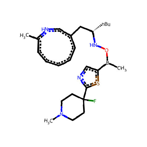 CCCC[C@@H](Cc1cccccc(C)[nH]c1)NOB(C)c1cnc(C2(F)CCN(C)CC2)s1